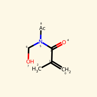 C=C(C)C(=O)N(CO)C(C)=O